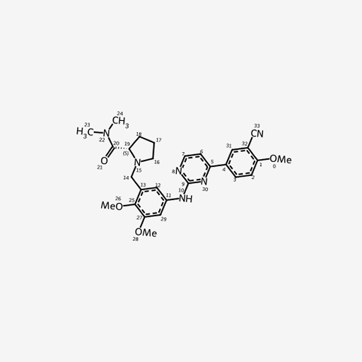 COc1ccc(-c2ccnc(Nc3cc(CN4CCC[C@H]4C(=O)N(C)C)c(OC)c(OC)c3)n2)cc1C#N